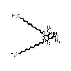 CCCCCCCCCCCCOC(=O)C1=C(C)NC(C)=CC1C(=O)OCCCCCCCCCCCC